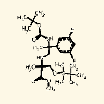 COC(=O)C(C)(CO[Si](C)(C)C(C)(C)C)NCC(C)(NC(=O)OC(C)(C)C)c1cc(F)cc(F)c1